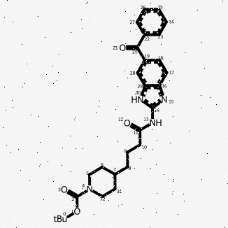 CC(C)(C)OC(=O)N1CCC(CCCC(=O)Nc2nc3ccc(C(=O)c4ccccc4)cc3[nH]2)CC1